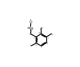 Cc1ccc(C)c([CH2][Mg][Cl])c1C